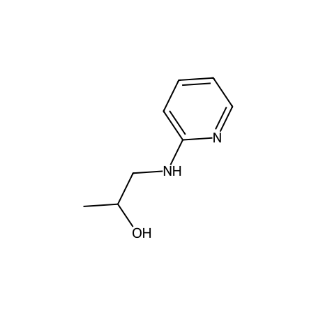 CC(O)CNc1ccccn1